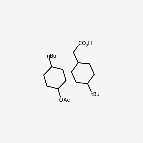 CC(C)(C)C1CCC(CC(=O)O)CC1.CCCCC1CCC(OC(C)=O)CC1